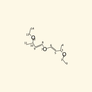 CCOC(C)C=COC=CC(C)OCC